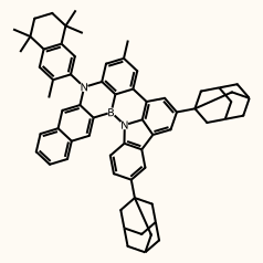 Cc1cc2c3c(c1)N(c1cc4c(cc1C)C(C)(C)CCC4(C)C)c1cc4ccccc4cc1B3n1c3ccc(C45CC6CC(CC(C6)C4)C5)cc3c3cc(C45CC6CC(CC(C6)C4)C5)cc-2c31